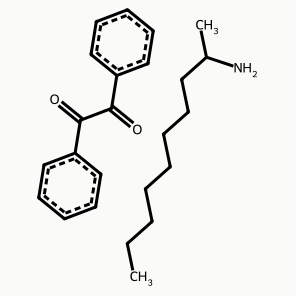 CCCCCCCCC(C)N.O=C(C(=O)c1ccccc1)c1ccccc1